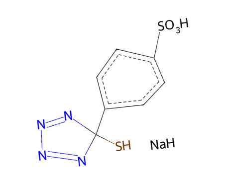 O=S(=O)(O)c1ccc(C2(S)N=NN=N2)cc1.[NaH]